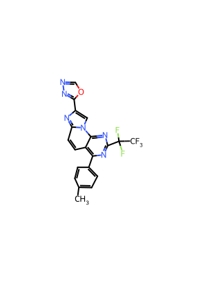 Cc1ccc(-c2nc(C(F)(F)C(F)(F)F)nc3c2ccc2nc(-c4nnco4)cn23)cc1